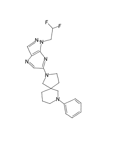 FC(F)Cn1ncc2ncc(N3CCC4(CCCN(c5ccccc5)C4)C3)nc21